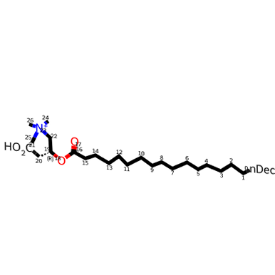 CCCCCCCCCCCCCCCCCCCCCCCCCC(=O)O[C@H](CC(=O)O)C[N+](C)(C)C